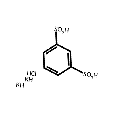 Cl.O=S(=O)(O)c1cccc(S(=O)(=O)O)c1.[KH].[KH]